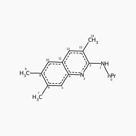 CCCNc1nc2cc(C)c(C)cc2cc1C